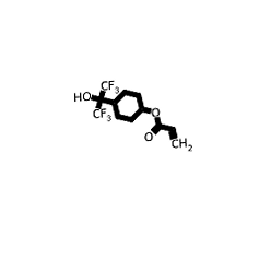 C=CC(=O)OC1CCC(C(O)(C(F)(F)F)C(F)(F)F)CC1